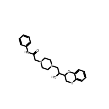 O=C(CN1CCN(CC(O)C2COc3ccccc3O2)CC1)Nc1ccccc1